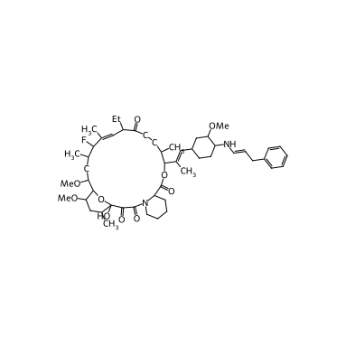 CCC1/C=C(\C)C(F)C(C)CC(OC)C2OC(O)(C(=O)C(=O)N3CCCCC3C(=O)OC(C(C)=CC3CCC(NC=CCc4ccccc4)C(OC)C3)C(C)CCC1=O)C(C)CC2OC